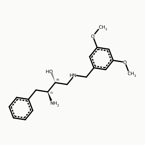 COc1cc(CNC[C@@H](O)[C@@H](N)Cc2ccccc2)cc(OC)c1